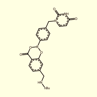 CCCCNCc1ccc2c(c1)OB(c1ccc(Cn3ccc(=O)[nH]c3=O)cc1)OC2=O